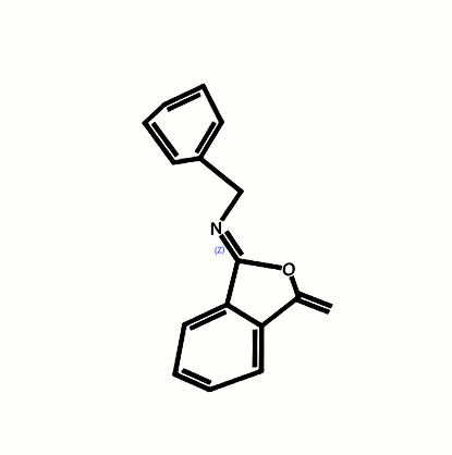 C=C1O/C(=N\Cc2ccccc2)c2ccccc21